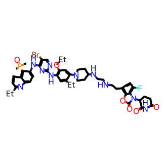 CCOc1cc(N2CCC(NCCNCCc3ccc(F)c4c3oc(=O)n4C3CCC(=O)NC3=O)CC2)c(CC)cc1Nc1ncc(Br)c(Nc2ccc3nc(CC)ccc3c2P(C)(C)=O)n1